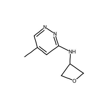 Cc1cnnc(NC2COC2)c1